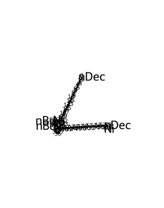 CCCCCCCCCCCCCCCCCCCCCCCCCCC=CCCc1ccccc1N=C(CCCC)C(CCCC)=Nc1ccccc1CCC=CCCCCCCCCCCCCCCCCCCCCCCCCCC.[Ni]